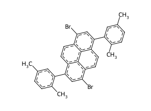 Cc1ccc(C)c(-c2cc(Br)c3ccc4c(-c5cc(C)ccc5C)cc(Br)c5ccc2c3c54)c1